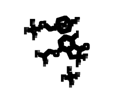 F[B-](F)(F)F.F[B-](F)(F)F.F[N+]12CC[N+](CCl)(CC1)CC2.O=C1c2c(I)ccc(OCC(F)F)c2CC1(F)F